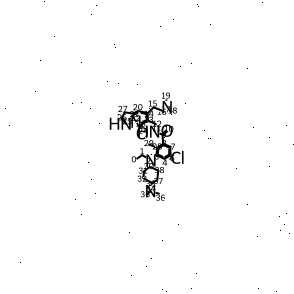 CCN(c1cc(Cl)cc(C(=O)NCc2c(CCN(C)C)cc3n(c2=O)NCC3)c1C)C1CCC(N(C)C)CC1